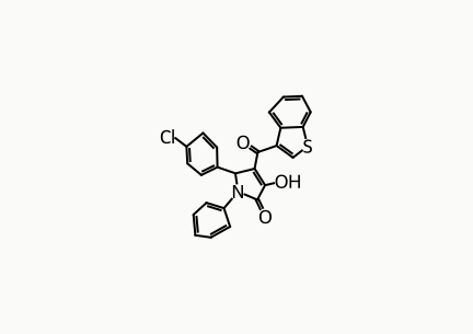 O=C(C1=C(O)C(=O)N(c2ccccc2)C1c1ccc(Cl)cc1)c1csc2ccccc12